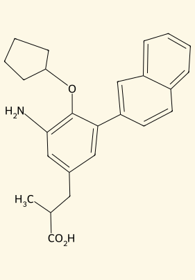 CC(Cc1cc(N)c(OC2CCCC2)c(-c2ccc3ccccc3c2)c1)C(=O)O